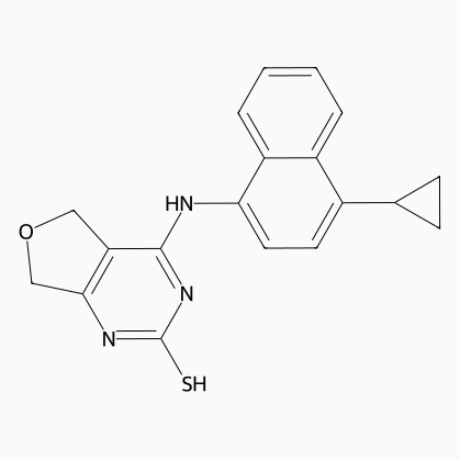 Sc1nc2c(c(Nc3ccc(C4CC4)c4ccccc34)n1)COC2